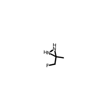 CC1(CF)NN1